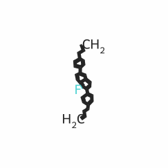 C=CCCc1ccc(-c2ccc3c(F)c(-c4ccc(CCC=C)cc4)ccc3c2)cc1